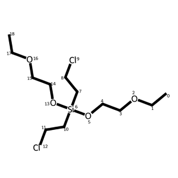 CCOCCO[Si](CCCl)(CCCl)OCCOCC